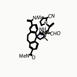 C=C(NC)c1ccc2c(c1)CCc1cc(C(=O)NC)ccc1C2(C[C@H](C)NCC(=C)N1CCCC1C#N)/C(N)=N/NC=O